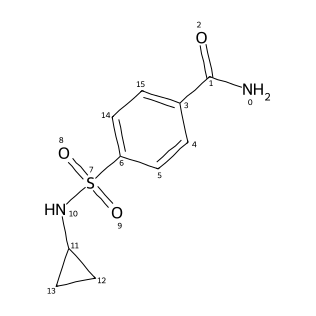 NC(=O)c1ccc(S(=O)(=O)NC2CC2)cc1